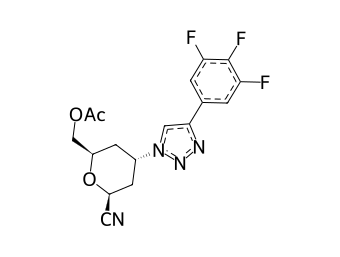 CC(=O)OC[C@H]1C[C@H](n2cc(-c3cc(F)c(F)c(F)c3)nn2)C[C@@H](C#N)O1